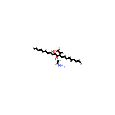 CCC(=O)O.CCCCCCCCCCC(CCCCCCCCCC)OCCN